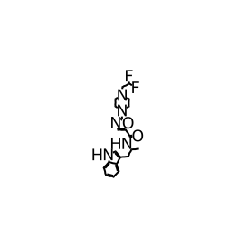 CC(Cc1c[nH]c2ccccc12)NC(=O)c1cnc(N2CCN(CC(F)F)CC2)o1